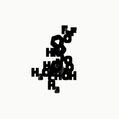 CC1(C)[C@H]2[C@@H](C(=O)O)N(C(=O)c3cc4c(OC(F)F)cccc4[nH]3)C[C@H]21